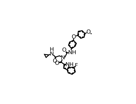 COc1ccc(Oc2ccc(NC(=O)CN(CC(=O)NC3CC3)C(=O)c3cc4cccc(F)c4[nH]3)cc2)cc1